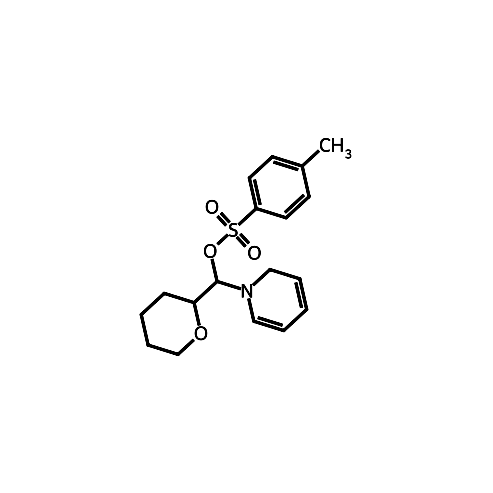 Cc1ccc(S(=O)(=O)OC(C2CCCCO2)N2C=CC=CC2)cc1